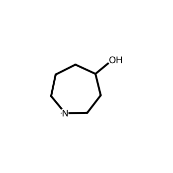 OC1CCC[N]CC1